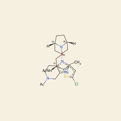 CC(=O)N[C@@H](CCN1[C@@H]2CC[C@H]1C[C@@H](n1c(C)nc3c1CCN(C(C)=O)C3)C2)c1ccc(Cl)s1